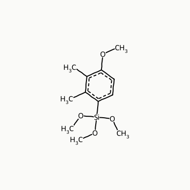 COc1ccc([Si](OC)(OC)OC)c(C)c1C